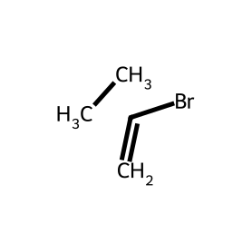 C=CBr.CC